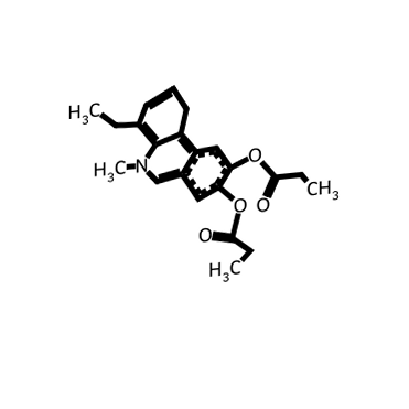 CCC(=O)Oc1cc2c(cc1OC(=O)CC)=C1CC=CC(CC)=C1N(C)C=2